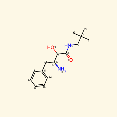 CC(C)(C)CNC(=O)C(O)[C@@H](N)Cc1ccccc1